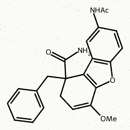 COC1=CCC(Cc2ccccc2)(C(N)=O)c2c1oc1ccc(NC(C)=O)cc21